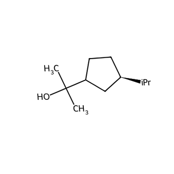 CC(C)[C@@H]1CCC(C(C)(C)O)C1